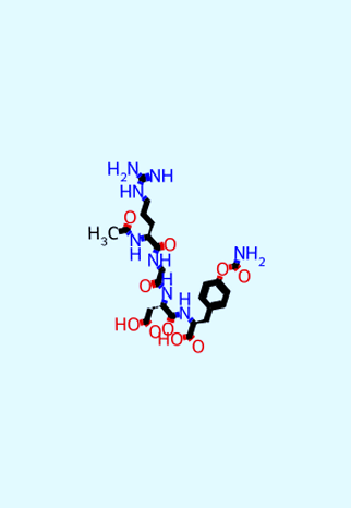 CC(=O)N[C@@H](CCCNC(=N)N)C(=O)NCC(=O)N[C@@H](CC(=O)O)C(=O)N[C@@H](Cc1ccc(OC(N)=O)cc1)C(=O)O